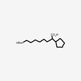 CCCCCCCCCCCCCCCC(C(=O)O)C1CCCC1